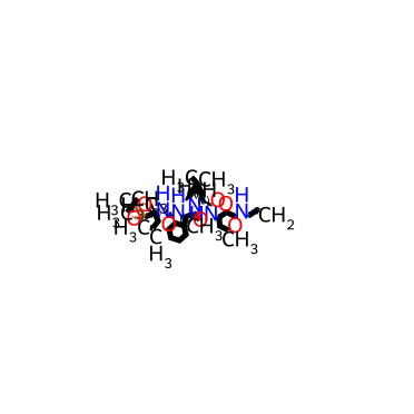 C=CCNC(=O)C(=O)C(CCC)NC(=O)[C@@H]1[C@@H]2[C@H](CN1C(=O)[C@@H](NC(=O)N[C@](C)(CC(C)C)CS(=O)(=O)C(C)(C)C)C1(C)CCCCC1)C2(C)C